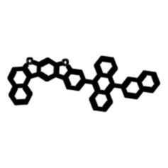 c1ccc2cc(-c3c4ccccc4c(-c4ccc5c(c4)oc4cc6oc7ccc8ccccc8c7c6cc45)c4ccccc34)ccc2c1